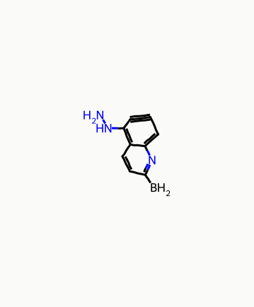 Bc1ccc2c(NN)c#ccc2n1